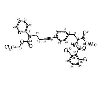 COC(=O)[C@H](Cc1ccc(C#CCCN(C(=O)OCC(Cl)(Cl)Cl)c2ccccn2)cc1)NC(=O)c1c(Cl)cccc1Cl